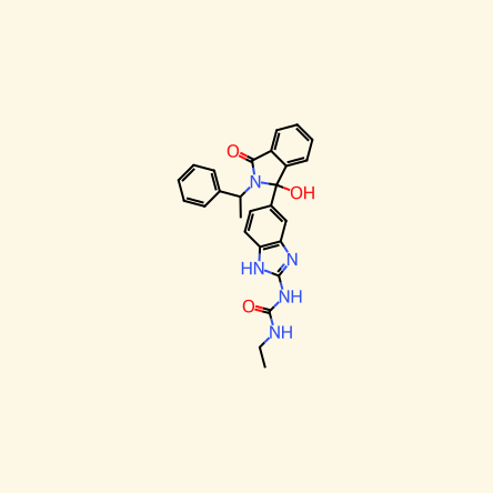 CCNC(=O)Nc1nc2cc(C3(O)c4ccccc4C(=O)N3C(C)c3ccccc3)ccc2[nH]1